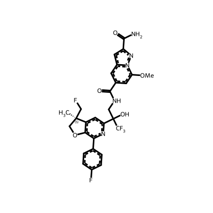 COc1cc(C(=O)NCC(O)(c2cc3c(c(-c4ccc(F)cc4)n2)OC[C@@]3(C)CF)C(F)(F)F)cc2cc(C(N)=O)nn12